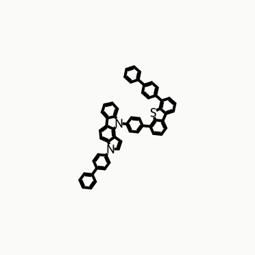 c1ccc(-c2ccc(-c3cccc4c3sc3c(-c5ccc(-n6c7ccccc7c7ccc8c(ccn8-c8ccc(-c9ccccc9)cc8)c76)cc5)cccc34)cc2)cc1